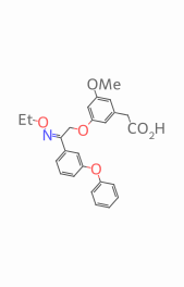 CCO/N=C(\COc1cc(CC(=O)O)cc(OC)c1)c1cccc(Oc2ccccc2)c1